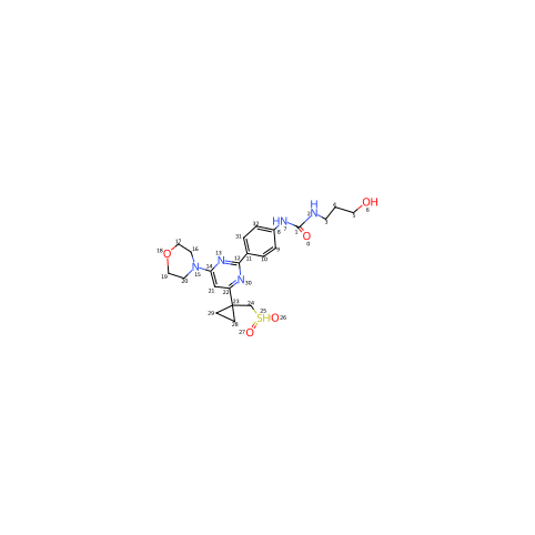 O=C(NCCCO)Nc1ccc(-c2nc(N3CCOCC3)cc(C3(C[SH](=O)=O)CC3)n2)cc1